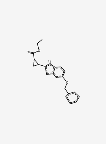 CCOC(=O)C1CC1c1cc2cc(OCc3ccccc3)ccc2[nH]1